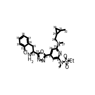 CCS(=O)(=O)N(C)c1cc(-c2nnc(C(N)Cc3ccccc3Cl)o2)cc(N(C)CC2CC2C)n1